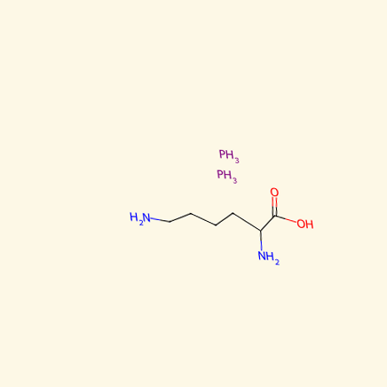 NCCCCC(N)C(=O)O.P.P